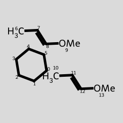 C1CCCCC1.CC=COC.CC=COC